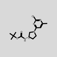 Cc1cc(N2CC[C@H](NC(=O)OC(C)(C)C)C2)nc(Cl)n1